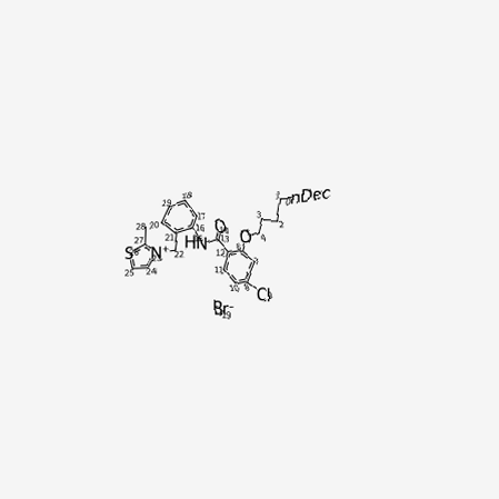 CCCCCCCCCCCCCCOc1cc(Cl)ccc1C(=O)Nc1ccccc1C[n+]1ccsc1C.[Br-]